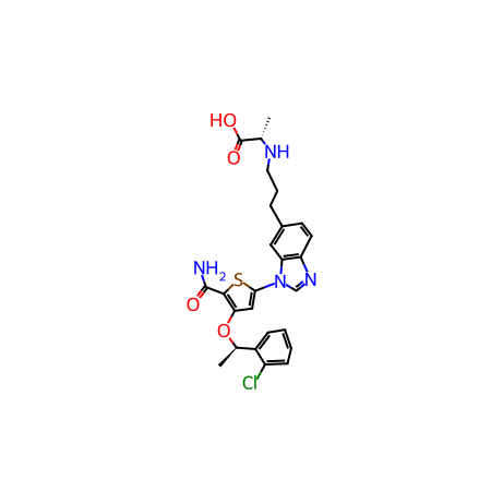 C[C@H](NCCCc1ccc2ncn(-c3cc(O[C@H](C)c4ccccc4Cl)c(C(N)=O)s3)c2c1)C(=O)O